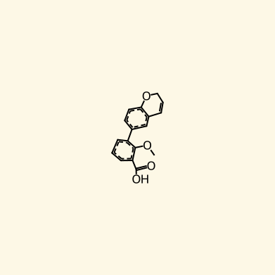 COc1c(C(=O)O)cccc1-c1ccc2c(c1)C=CCO2